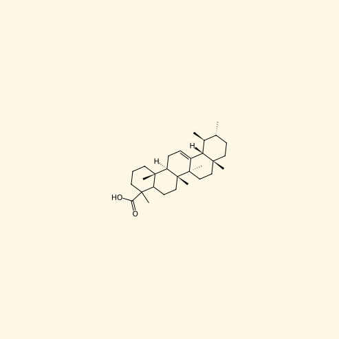 C[C@H]1[C@H](C)CC[C@]2(C)CC[C@]3(C)C(=CC[C@@H]4[C@@]5(C)CCCC(C)(C(=O)O)C5CC[C@]43C)[C@H]12